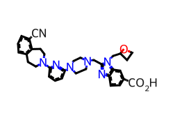 N#Cc1cccc2c1CCN(c1cccc(N3CCN(Cc4nc5ccc(C(=O)O)cc5n4CC4CCO4)CC3)n1)CC2